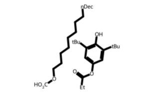 CCC(=O)Oc1cc(C(C)(C)C)c(O)c(C(C)(C)C)c1.CCCCCCCCCCCCCCCCCCOC(=O)O